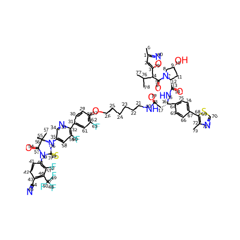 Cc1cc(C(C(=O)N2C[C@H](O)C[C@H]2C(=O)N[C@@H](CC(=O)NCCCCCCOc2ccc(-c3ncc(N4C(=S)N(c5ccc(C#N)c(C(F)(F)F)c5F)C(=O)C4(C)C)cc3F)cc2F)c2ccc(-c3scnc3C)cc2)C(C)C)on1